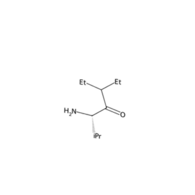 CCC(CC)C(=O)[C@@H](N)C(C)C